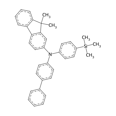 CC1(C)c2ccccc2-c2ccc(N(c3ccc(-c4ccccc4)cc3)c3ccc([Si](C)(C)C)cc3)cc21